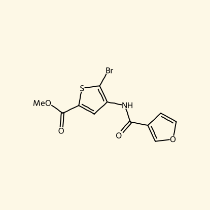 COC(=O)c1cc(NC(=O)c2ccoc2)c(Br)s1